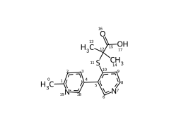 Cc1ccc(-c2cnccc2SC(C)(C)C(=O)O)cn1